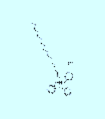 CCCCCCCCCCCCCCCCCC[N+](Cc1ccccc1)(Cc1ccccc1)Cc1ccccc1.[Cl-]